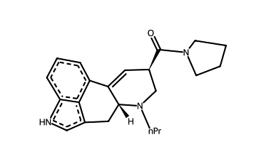 CCCN1C[C@H](C(=O)N2CCCC2)C=C2c3cccc4[nH]cc(c34)C[C@H]21